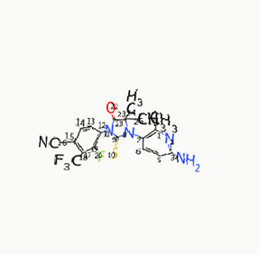 Cc1nc(N)ccc1N1C(=S)N(c2ccc(C#N)c(C(F)(F)F)c2F)C(=O)C1(C)C